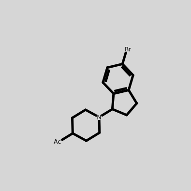 CC(=O)C1CCN(C2CCc3cc(Br)ccc32)CC1